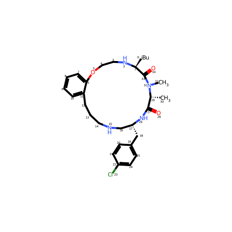 CCC(C)[C@@H]1NCCOc2ccccc2CCCNC[C@@H](Cc2ccc(Cl)cc2)NC(=O)[C@@H](C)N(C)C1=O